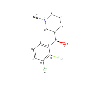 CC(C)(C)N1CCCC([C@@H](O)c2cccc(Cl)c2F)C1